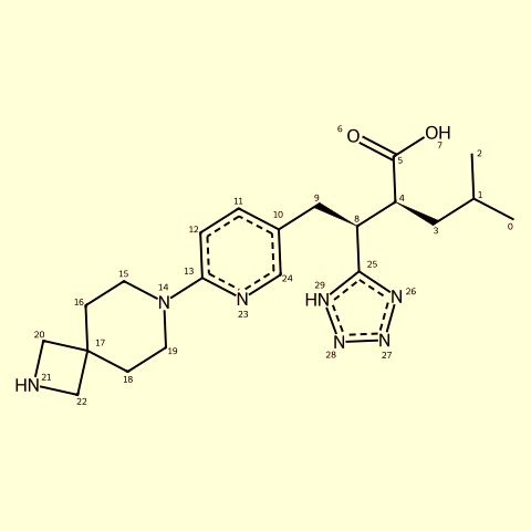 CC(C)C[C@H](C(=O)O)[C@H](Cc1ccc(N2CCC3(CC2)CNC3)nc1)c1nnn[nH]1